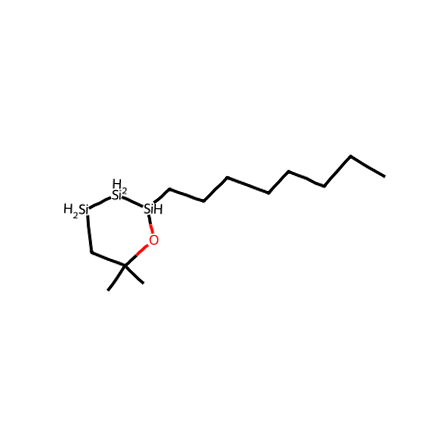 CCCCCCCC[SiH]1OC(C)(C)C[SiH2][SiH2]1